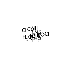 C[N+](C)(C)CC1CN(c2nc3ccc(Cl)cc3s2)Cc2[nH]c3ccc(Cl)cc3c21.[I-]